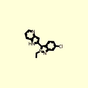 CCn1nc2cc(Cl)ccc2c1-c1cc2ncccc2[nH]1